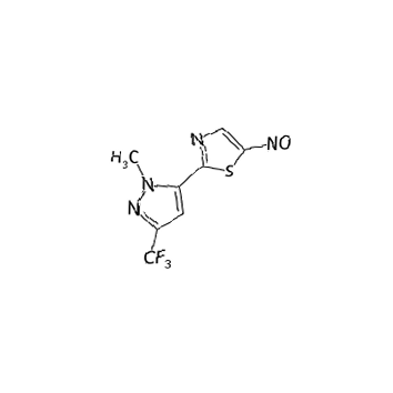 Cn1nc(C(F)(F)F)cc1-c1ncc(N=O)s1